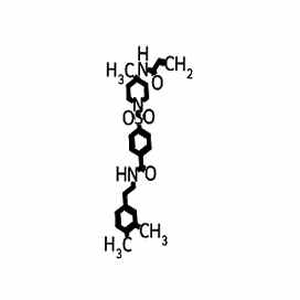 C=CC(=O)NC1(C)CCN(S(=O)(=O)c2ccc(C(=O)NCCc3ccc(C)c(C)c3)cc2)CC1